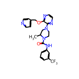 CC1CN(c2nccnc2OCc2ccncc2)CCN1C(=O)Nc1cccc(C(F)(F)F)c1